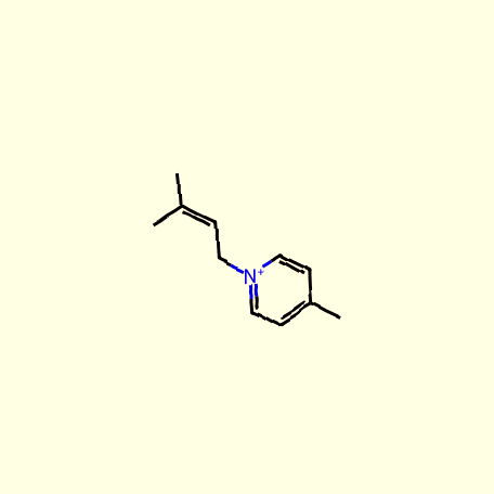 CC(C)=CC[n+]1ccc(C)cc1